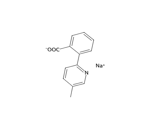 Cc1ccc(-c2ccccc2C(=O)[O-])nc1.[Na+]